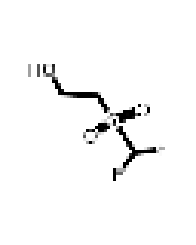 O=S(=O)(CCO)C(F)F